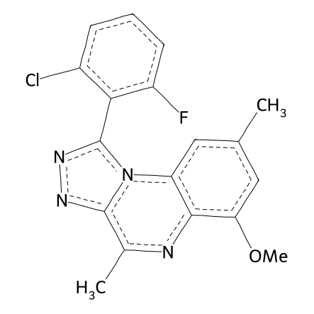 COc1cc(C)cc2c1nc(C)c1nnc(-c3c(F)cccc3Cl)n12